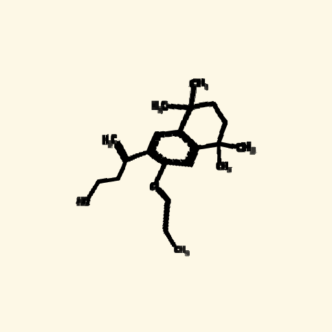 C=C(CCO)c1cc2c(cc1OCCC)C(C)(C)CCC2(C)C